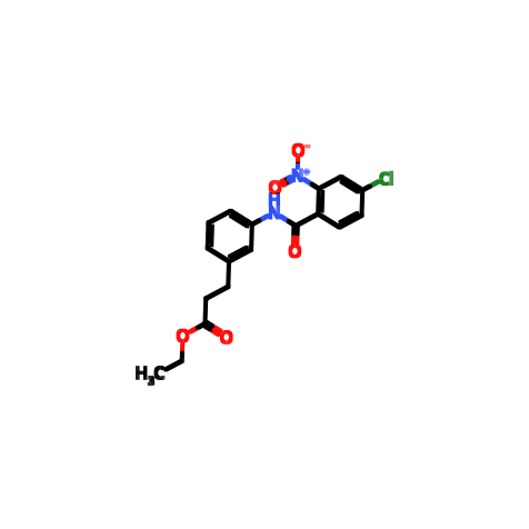 CCOC(=O)CCc1cccc(NC(=O)c2ccc(Cl)cc2[N+](=O)[O-])c1